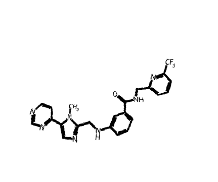 Cn1c(-c2ccncn2)cnc1CNc1cccc(C(=O)NCc2cccc(C(F)(F)F)n2)c1